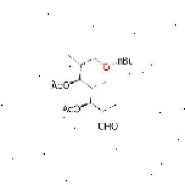 CCCCOC[C@@H](C)[C@H](OC(C)=O)[C@H](C)[C@H](OC(C)=O)[C@H](C)C=O